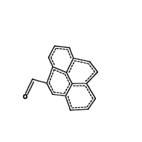 O=Cc1cc2cccc3ccc4cccc1c4c32